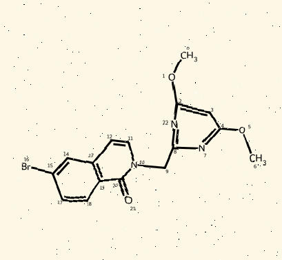 COc1cc(OC)nc(Cn2ccc3cc(Br)ccc3c2=O)n1